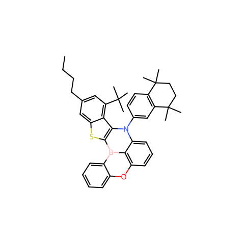 CCCCc1cc(C(C)(C)C)c2c3c(sc2c1)B1c2ccccc2Oc2cccc(c21)N3c1ccc2c(c1)C(C)(C)CCC2(C)C